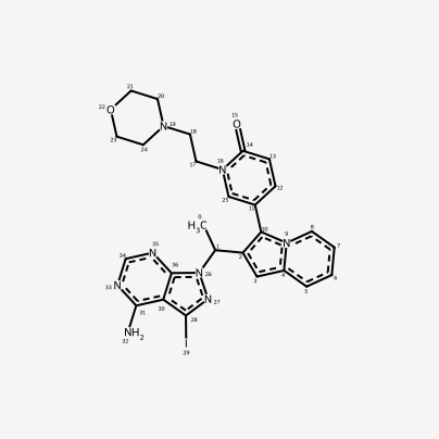 CC(c1cc2ccccn2c1-c1ccc(=O)n(CCN2CCOCC2)c1)n1nc(I)c2c(N)ncnc21